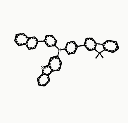 CC1(C)c2ccccc2-c2ccc(-c3ccc(N(c4cccc(-c5ccc6ccccc6c5)c4)c4ccc5c(c4)sc4ccccc45)cc3)cc21